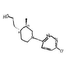 C[C@H]1CN(c2ccc(Cl)nn2)CC[C@@H]1CCO